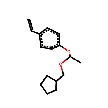 C=Cc1ccc(OC(C)OCC2CCCC2)cc1